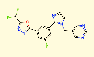 Fc1cc(-c2nnc(C(F)F)o2)cc(-c2nccn2Cc2cncnc2)c1